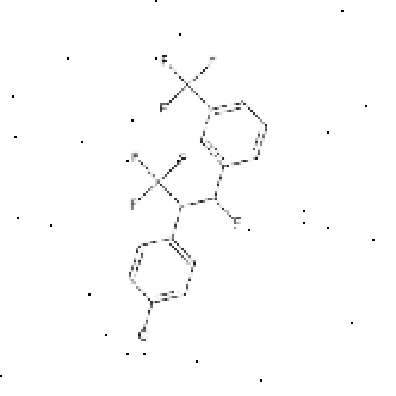 FC(c1cccc(C(F)(F)F)c1)C(c1ccc(Cl)cc1)C(F)(F)F